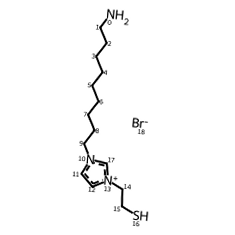 NCCCCCCCCCn1cc[n+](CCS)c1.[Br-]